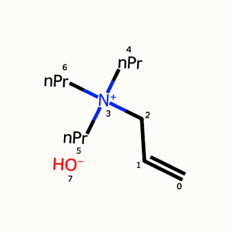 C=CC[N+](CCC)(CCC)CCC.[OH-]